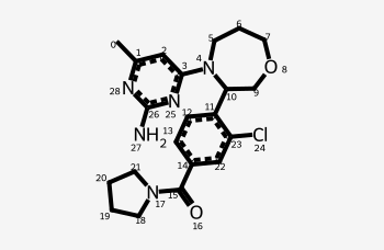 Cc1cc(N2CCCOCC2c2ccc(C(=O)N3CCCC3)cc2Cl)nc(N)n1